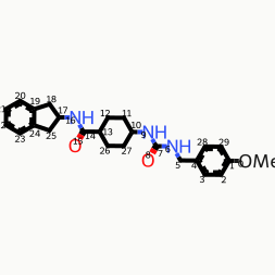 COc1ccc(CNC(=O)NC2CCC(C(=O)NC3Cc4ccccc4C3)CC2)cc1